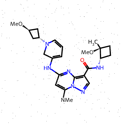 CNc1cc(NC2=CC=CN([C@H]3C[C@H](OC)C3)C2)nc2c(C(=O)N[C@H]3CC[C@]3(C)OC)cnn12